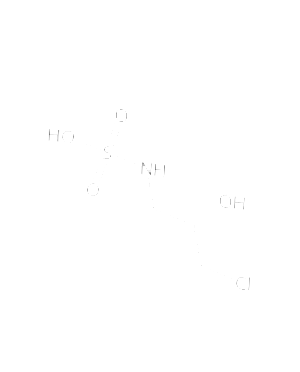 O=S(=O)(O)NCC(O)CCl